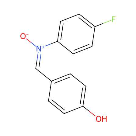 [O-]/[N+](=C/c1ccc(O)cc1)c1ccc(F)cc1